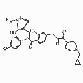 Cn1ncc2c1Nc1cc(Cl)ccc1N(C(=O)c1ccc(CNC(=O)C3CCN(CC4CC4)CC3)cc1Cl)C2